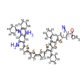 CC(=O)/C(C#N)=C/c1ccc(-c2sc3c(-c4ccccc4)c(-c4ccc(-c5ccc(-c6ccc(-c7cc(N)c(N(c8ccccc8)c8ccccc8)cc7N)s6)s5)s4)sc3c2-c2ccccc2)s1